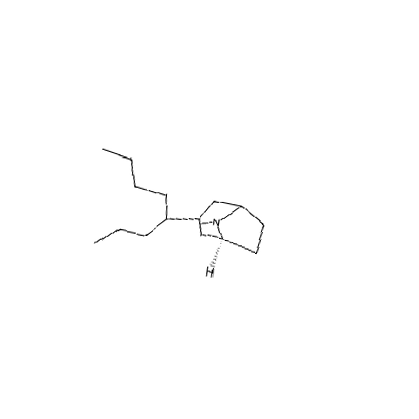 CCCCC(CCC)C1CC2CC[C@@H](C1)N2C